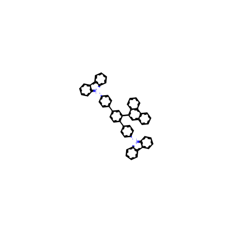 c1ccc2c(c1)cc(-c1cc(-c3ccc(-n4c5ccccc5c5ccccc54)cc3)ccc1-c1ccc(-n3c4ccccc4c4ccccc43)cc1)c1ccccc12